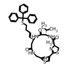 CC(C)[C@@H]1NC(=O)[C@]2(C)CSC(=N2)c2csc(n2)CNC(=O)C[C@@H](/C=C/CCSC(c2ccccc2)(c2ccccc2)c2ccccc2)NC1=O